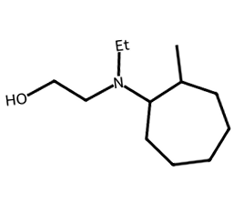 CCN(CCO)C1CCCCCC1C